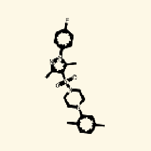 Cc1ccc(C)c(N2CCN(S(=O)(=O)c3c(C)nn(-c4ccc(F)cc4)c3C)CC2)c1